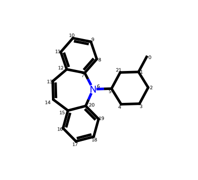 CC1CCCC(N2c3ccccc3C=Cc3ccccc32)C1